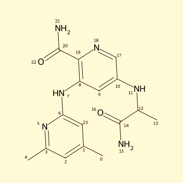 Cc1cc(C)nc(Nc2cc(NC(C)C(N)=O)cnc2C(N)=O)c1